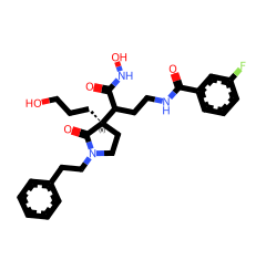 O=C(NCCC(C(=O)NO)[C@@]1(CCCO)CCN(CCc2ccccc2)C1=O)c1cccc(F)c1